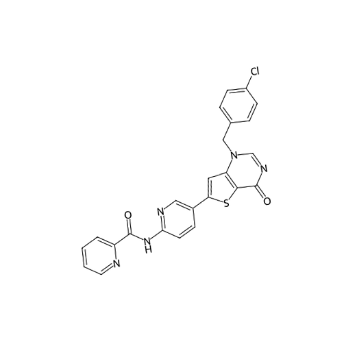 O=C(Nc1ccc(-c2cc3c(s2)c(=O)ncn3Cc2ccc(Cl)cc2)cn1)c1ccccn1